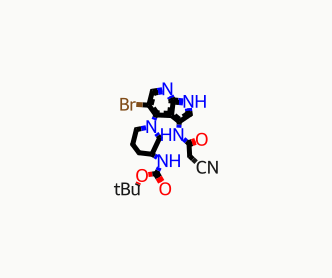 CC(C)(C)OC(=O)NC1CCCN(c2c(Br)cnc3[nH]cc(NC(=O)CC#N)c23)C1